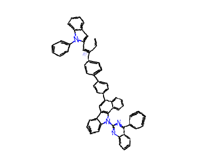 C=C/C(=C\c1cc2ccccc2n1-c1ccccc1)c1ccc(-c2ccc(-c3cc4c5ccccc5n(-c5nc(-c6ccccc6)c6ccccc6n5)c4c4ccccc34)cc2)cc1